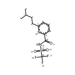 CC(C)CCc1cccc(C(=O)NS(=O)(=O)C(F)(F)F)n1